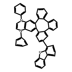 c1ccc(-n2ccn(-c3ccccc3)c3cc4c5ccc(-c6cccc7c6sc6ccccc67)cc5c5ccccc5c5ccccc5c4cc32)cc1